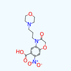 O=C(O)c1cc2c(cc1[N+](=O)[O-])OCC(=O)N2CCCN1CCOCC1